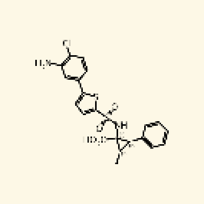 C[C@@H]1[C@H](c2ccccc2)[C@]1(NS(=O)(=O)c1ccc(-c2ccc(Cl)c(N)c2)s1)C(=O)O